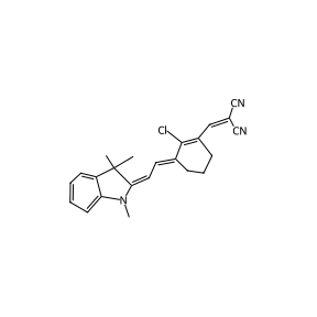 CN1/C(=C/C=C2\CCCC(C=C(C#N)C#N)=C2Cl)C(C)(C)c2ccccc21